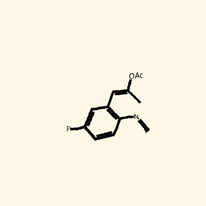 C=Nc1ccc(F)cc1/C=C(\C)OC(C)=O